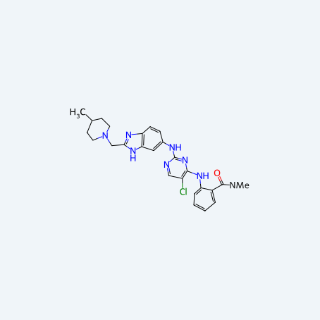 CNC(=O)c1ccccc1Nc1nc(Nc2ccc3nc(CN4CCC(C)CC4)[nH]c3c2)ncc1Cl